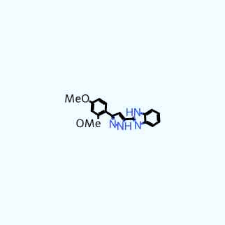 COc1ccc(-c2cc(-c3nc4ccccc4[nH]3)[nH]n2)c(OC)c1